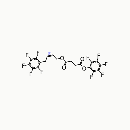 O=C(CCC(=O)Oc1c(F)c(F)c(F)c(F)c1F)OC/C=C\Cc1c(F)c(F)c(F)c(F)c1F